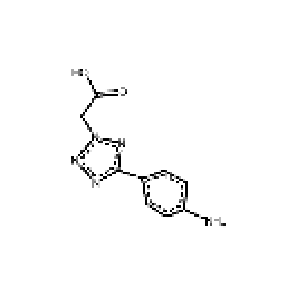 Nc1ccc(-c2nnn(CC(=O)O)n2)cc1